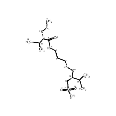 CSS[C@H](C(=O)NCCCSS[C@H](CS(=O)(=O)O)C(C)C)C(C)C